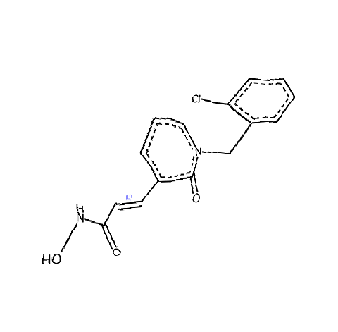 O=C(/C=C/c1cccn(Cc2ccccc2Cl)c1=O)NO